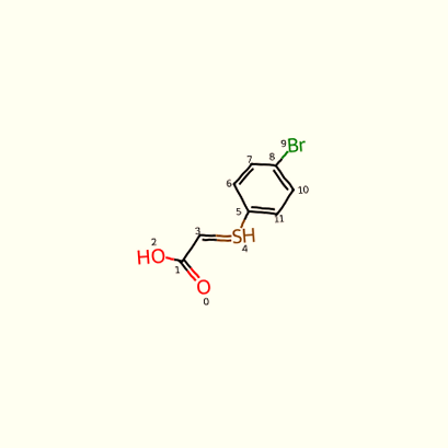 O=C(O)C=[SH]c1ccc(Br)cc1